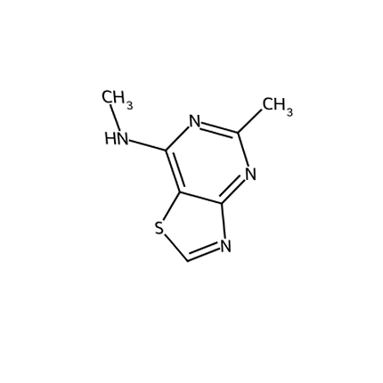 CNc1nc(C)nc2ncsc12